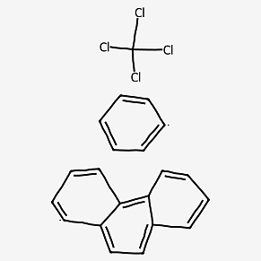 ClC(Cl)(Cl)Cl.[c]1cccc2c1ccc1ccccc12.[c]1ccccc1